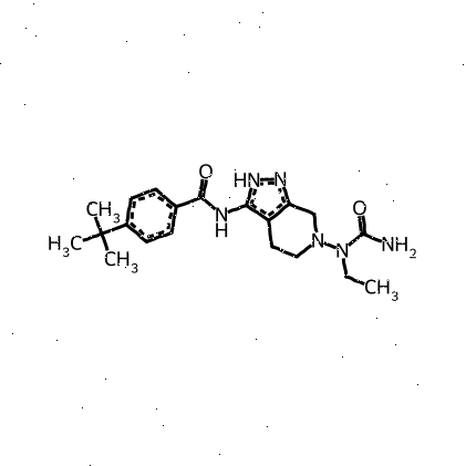 CCN(C(N)=O)N1CCc2c(n[nH]c2NC(=O)c2ccc(C(C)(C)C)cc2)C1